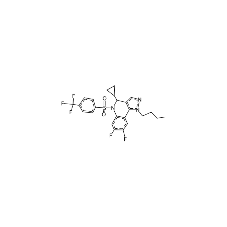 CCCCn1ncc2c1-c1cc(F)c(F)cc1N(S(=O)(=O)c1ccc(C(F)(F)F)cc1)C2C1CC1